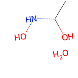 CC(O)NO.O